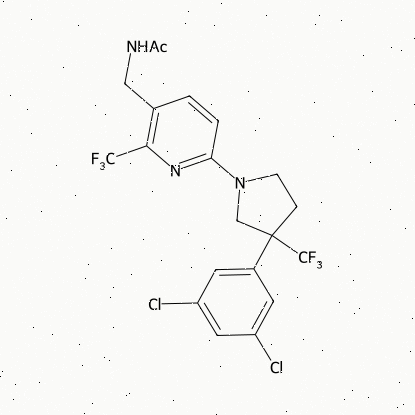 CC(=O)NCc1ccc(N2CCC(c3cc(Cl)cc(Cl)c3)(C(F)(F)F)C2)nc1C(F)(F)F